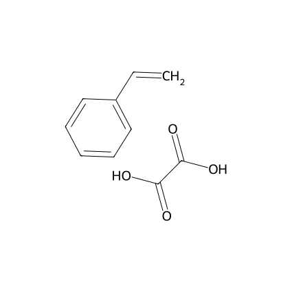 C=Cc1ccccc1.O=C(O)C(=O)O